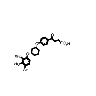 CCCc1c(O[C@H]2CCC[C@@H](Oc3ccc(C(=O)CCC(=O)O)cc3)C2)ccc(C(C)=O)c1O